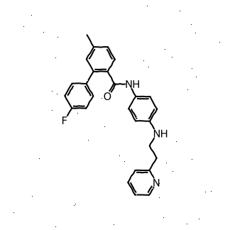 Cc1ccc(C(=O)Nc2ccc(NCCc3ccccn3)cc2)c(-c2ccc(F)cc2)c1